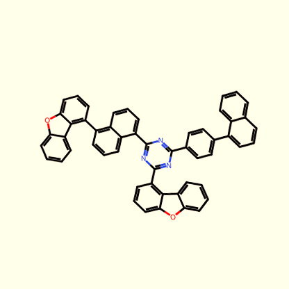 c1ccc2c(-c3ccc(-c4nc(-c5cccc6c(-c7cccc8oc9ccccc9c78)cccc56)nc(-c5cccc6oc7ccccc7c56)n4)cc3)cccc2c1